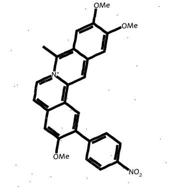 COc1cc2cc3c4cc(-c5ccc([N+](=O)[O-])cc5)c(OC)cc4cc[n+]3c(C)c2cc1OC